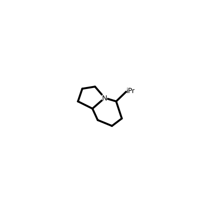 CC(C)C1CCCC2CCCN21